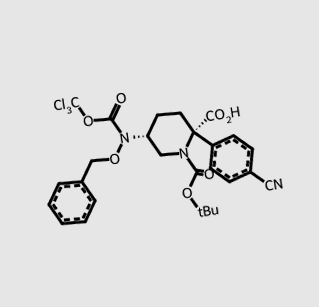 CC(C)(C)OC(=O)N1C[C@H](N(OCc2ccccc2)C(=O)OC(Cl)(Cl)Cl)CC[C@@]1(C(=O)O)c1ccc(C#N)cc1